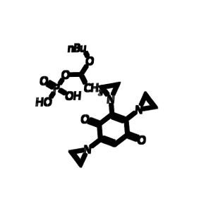 CCCCOC(C)OP(=O)(O)O.O=C1C=C(N2CC2)C(=O)C(N2CC2)=C1N1CC1